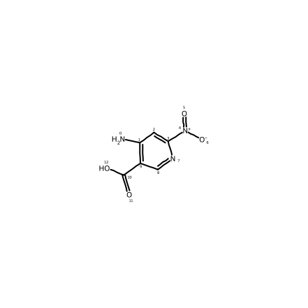 Nc1cc([N+](=O)[O-])ncc1C(=O)O